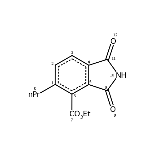 CCCc1ccc2c(c1C(=O)OCC)C(=O)NC2=O